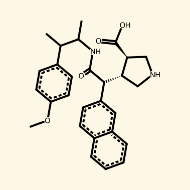 COc1ccc(C(C)C(C)NC(=O)C(c2ccc3ccccc3c2)[C@H]2CNC[C@@H]2C(=O)O)cc1